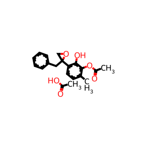 CC(=O)O.CC(=O)Oc1c(C)ccc(C2(Cc3ccccc3)CO2)c1O